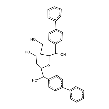 OCCC(SC(CCO)C(O)c1ccc(-c2ccccc2)cc1)C(O)c1ccc(-c2ccccc2)cc1